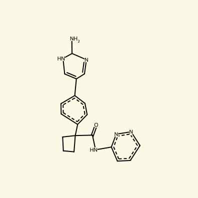 NC1N=CC(c2ccc(C3(C(=O)Nc4cccnn4)CCC3)cc2)=CN1